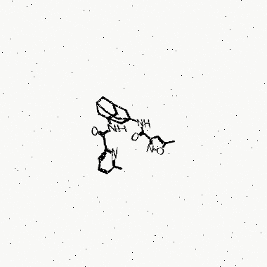 Cc1cccc(C(=O)NC23CC4CC(CC(NC(=O)c5cc(C)on5)(C4)C2)C3)n1